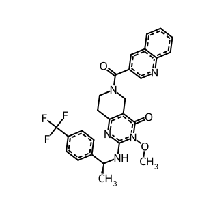 COn1c(N[C@@H](C)c2ccc(C(F)(F)F)cc2)nc2c(c1=O)CN(C(=O)c1cnc3ccccc3c1)CC2